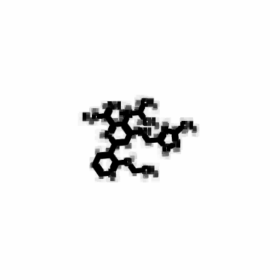 CCOc1ncccc1-c1cc(NCc2nc(C)no2)c(NC(C)C)c(C(C)=N)n1